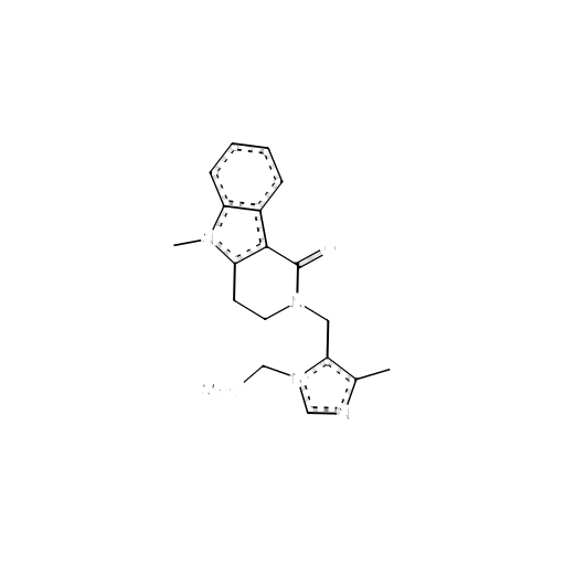 COCn1cnc(C)c1CN1CCc2c(c3ccccc3n2C)C1=O